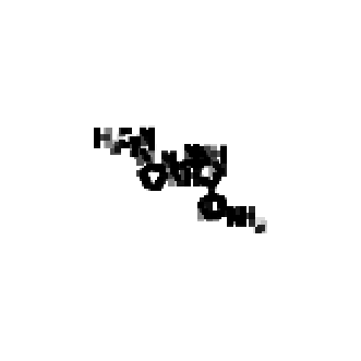 Cc1cn(-c2cccc3[nH]c(-c4n[nH]c5ncc(-c6cncc(N)c6)cc45)nc23)cn1